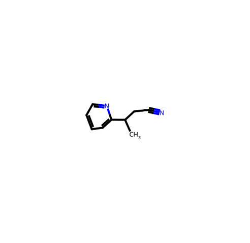 CC(CC#N)c1ccccn1